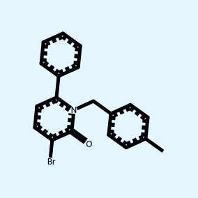 Cc1ccc(Cn2c(-c3ccccc3)ccc(Br)c2=O)cc1